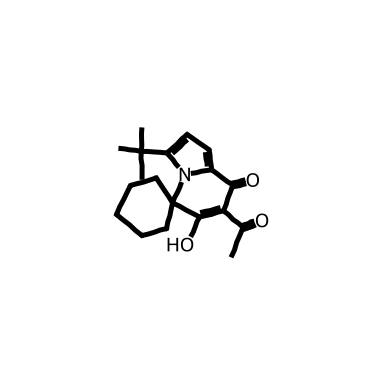 CC(=O)C1=C(O)C2(CCCCC2)n2c(ccc2C(C)(C)C)C1=O